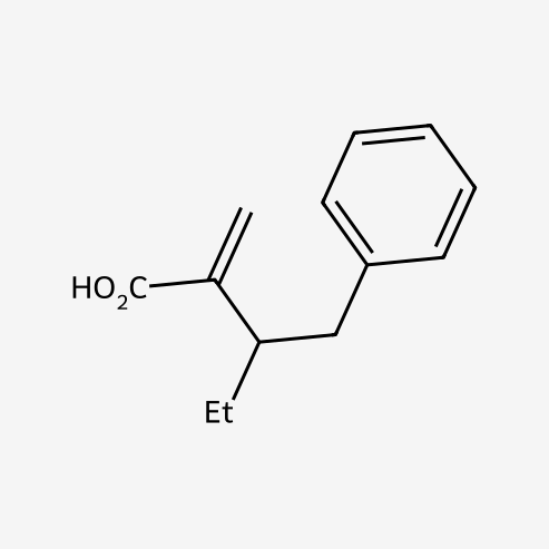 C=C(C(=O)O)C(CC)Cc1ccccc1